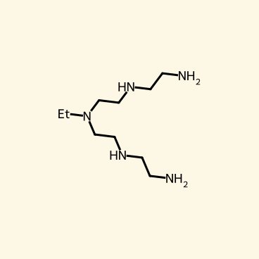 CCN(CCNCCN)CCNCCN